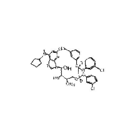 CO[C@H](COP(=O)(CP(=O)(Oc1cccc(Cl)c1)Oc1cccc(Cl)c1)Oc1cccc(Cl)c1)[C@@H](O)[C@@H](O)n1cnc2c(N(C)C3CCCC3)nc(Cl)nc21